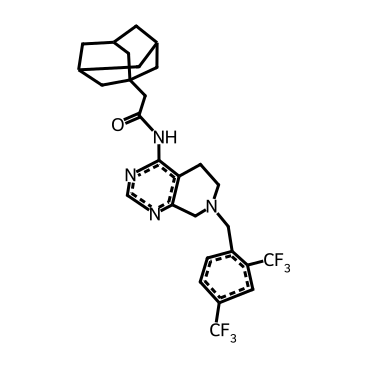 O=C(CC12CC3CC(CC(C3)C1)C2)Nc1ncnc2c1CCN(Cc1ccc(C(F)(F)F)cc1C(F)(F)F)C2